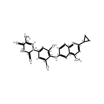 Cc1cc(C2CC2)nc2ccc(Oc3c(Cl)cc(-n4nc(N)c(=O)[nH]c4=O)cc3Cl)cc12